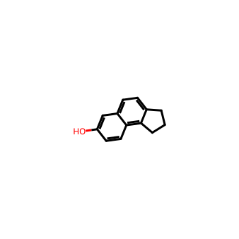 Oc1ccc2c3c(ccc2c1)CCC3